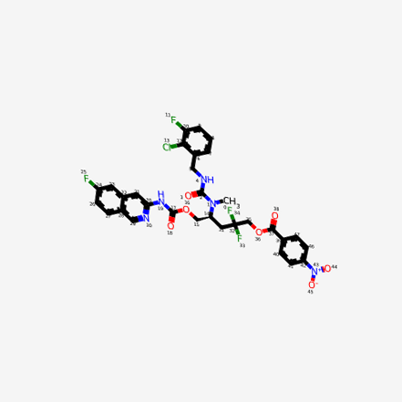 CN(C(=O)NCc1cccc(F)c1Cl)[C@H](COC(=O)Nc1cc2cc(F)ccc2cn1)CC(F)(F)COC(=O)c1ccc([N+](=O)[O-])cc1